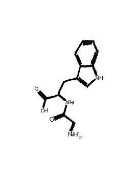 NCC(=O)NC(Cc1[c][nH]c2ccccc12)C(=O)O